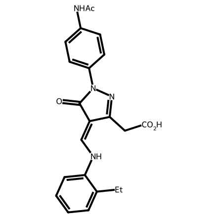 CCc1ccccc1NC=C1C(=O)N(c2ccc(NC(C)=O)cc2)N=C1CC(=O)O